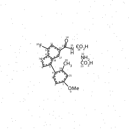 COc1ccc(-c2csc3c(F)cc(C(=O)NC(=O)O)cc23)c(C)c1.NC(=O)O